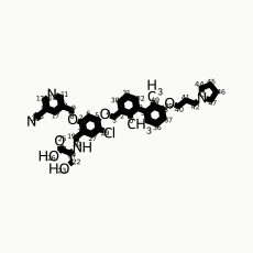 Cc1c(COc2cc(OCc3cncc(C#N)c3)c(CN[C@@H](CO)C(=O)O)cc2Cl)cccc1-c1cccc(OCCCN2CCCC2)c1C